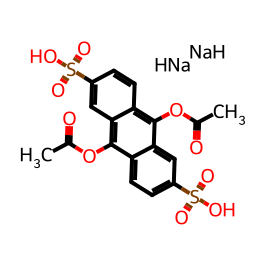 CC(=O)Oc1c2ccc(S(=O)(=O)O)cc2c(OC(C)=O)c2ccc(S(=O)(=O)O)cc12.[NaH].[NaH]